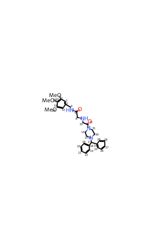 COc1cc(CNC(=O)CNCC(=O)N2CCN(C(c3ccccc3)c3ccccc3)CC2)cc(OC)c1OC